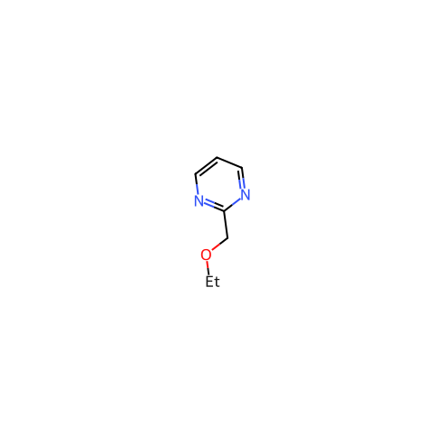 CCOCc1ncccn1